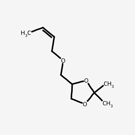 C/C=C\COCC1COC(C)(C)O1